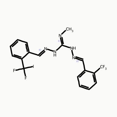 C/N=C(\N/N=C/c1ccccc1C(F)(F)F)N/N=C/c1ccccc1C(F)(F)I